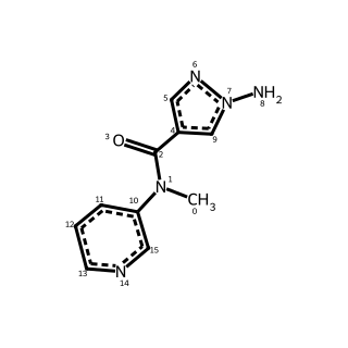 CN(C(=O)c1cnn(N)c1)c1cccnc1